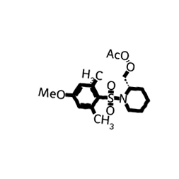 COc1cc(C)c(S(=O)(=O)N2CCCC[C@H]2COOC(C)=O)c(C)c1